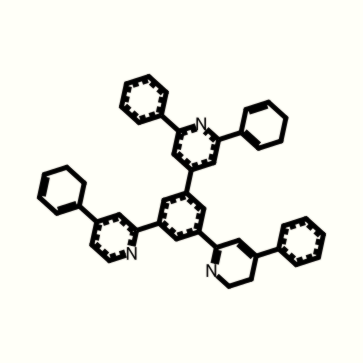 C1=CCCC(c2ccnc(-c3cc(C4=NCCC(c5ccccc5)=C4)cc(-c4cc(C5=CCCC=C5)nc(-c5ccccc5)c4)c3)c2)=C1